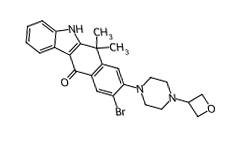 CC1(C)c2cc(N3CCN(C4COC4)CC3)c(Br)cc2C(=O)c2c1[nH]c1ccccc21